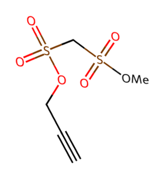 C#CCOS(=O)(=O)CS(=O)(=O)OC